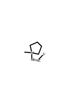 CCCC[N+]1(C)CCCC1.N#C[S-]